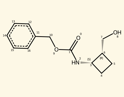 O=C(N[C@H]1CC[C@H]1CO)OCc1ccccc1